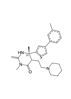 C=C1N[C@](C)(c2cc(-c3cccc(C)c3)cs2)C(CCN2CCCCC2)C(=O)N1C